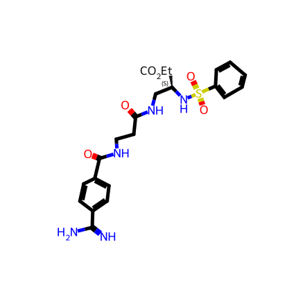 CCOC(=O)[C@H](CNC(=O)CCNC(=O)c1ccc(C(=N)N)cc1)NS(=O)(=O)c1ccccc1